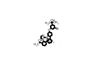 CC(C)c1cccc(C(C)C)c1-n1ccnc1-n1c2ccccc2c2ccc(Oc3cc(Br)cc(C(C)(C)C)c3)cc21